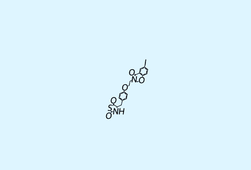 O=C1NC(Cc2ccc(OCCN3COc4ccc(I)cc4C3=O)cc2)C(=O)S1